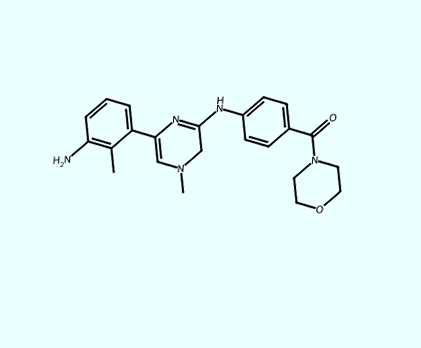 Cc1c(N)cccc1C1=CN(C)CC(Nc2ccc(C(=O)N3CCOCC3)cc2)=N1